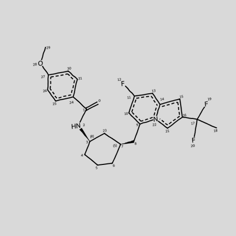 C=C(N[C@@H]1CCC[C@H](Cc2cc(F)cc3cc(C(C)(F)F)cn23)C1)c1ccc(OC)cc1